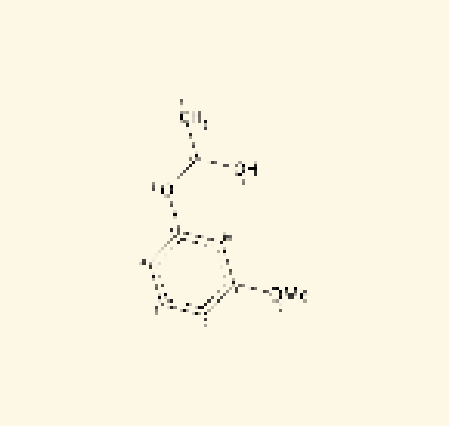 COc1cccc(OC(C)O)c1